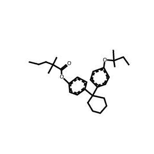 CCCC(C)(C)C(=O)Oc1ccc(C2(c3ccc(OC(C)(C)CC)cc3)CCCCC2)cc1